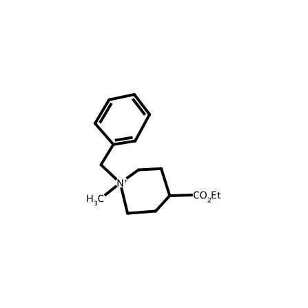 CCOC(=O)C1CC[N+](C)(Cc2ccccc2)CC1